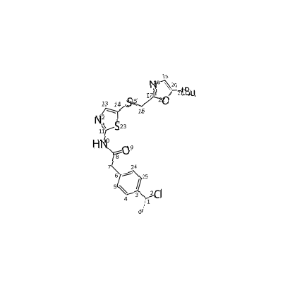 CC(Cl)c1ccc(CC(=O)Nc2ncc(SCc3ncc(C(C)(C)C)o3)s2)cc1